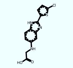 O=C(O)CNc1ccc2[nH]c(-c3ccc(Cl)s3)nc2c1